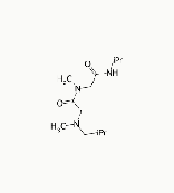 CC(C)CN(C)CC(=O)N(C)CC(=O)NC(C)C